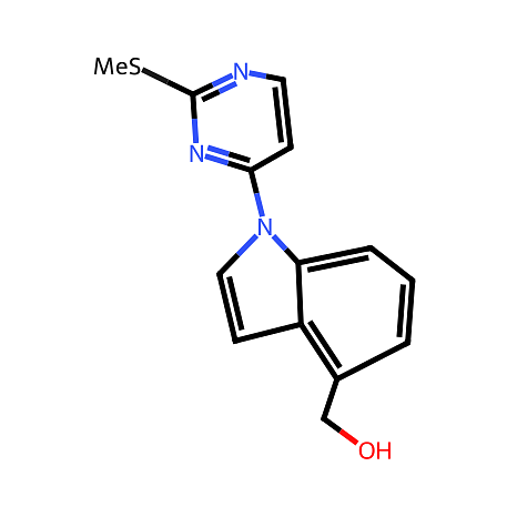 CSc1nccc(-n2ccc3c(CO)cccc32)n1